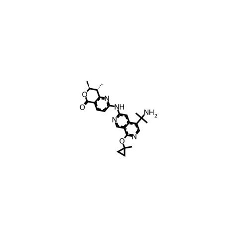 C[C@@H]1OC(=O)c2ccc(Nc3cc4c(C(C)(C)N)cnc(OC5(C)CC5)c4cn3)nc2[C@H]1C